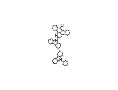 O=c1c2ccccc2c2nc(-n3c4ccccc4c4cc(-c5ccc6c(c5)c5ccccc5n6-c5ccccc5)ccc43)cc3c4ccccc4n1c32